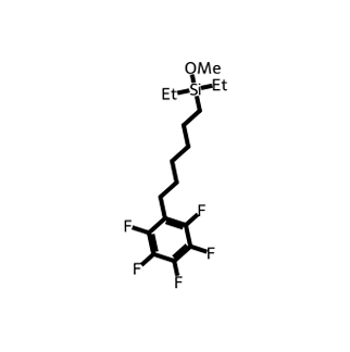 CC[Si](CC)(CCCCCCc1c(F)c(F)c(F)c(F)c1F)OC